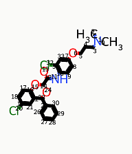 CN(C)CCCOc1ccc(NC(=O)COc2ccc(Cl)cc2C(=O)c2ccccc2)c(Cl)c1